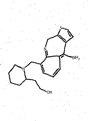 NC1=c2cccc(CN3CCCCC3CCO)c2=NCc2sccc21